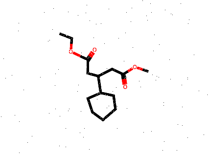 CCOC(=O)CC(CC(=O)OC)C1CCCCC1